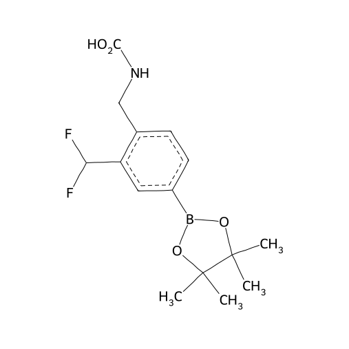 CC1(C)OB(c2ccc(CNC(=O)O)c(C(F)F)c2)OC1(C)C